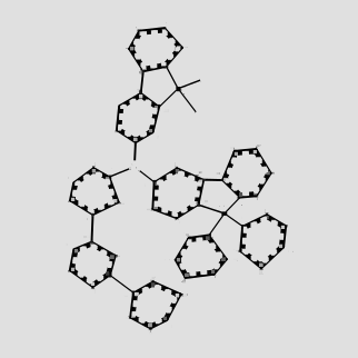 CC1(C)c2ccccc2-c2ccc(N(c3cccc(-c4cccc(-c5ccccc5)c4)c3)c3ccc4c(c3)-c3ccccc3C4(c3ccccc3)c3ccccc3)cc21